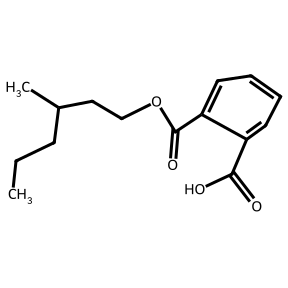 CCCC(C)CCOC(=O)c1ccccc1C(=O)O